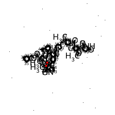 COc1ccc(C(=O)N2C[C@H](C)N(CC3CCN(c4nc(C(CC(CN(C)C(=O)OCc5ccccc5)N(C)C(=O)O)(OC5CC5)c5ccccc5)c5cc(-c6cn(C)c(=O)c7[nH]ccc67)ccc5n4)CC3)C[C@H]2C)cc1N1CCC(=O)NC1=O